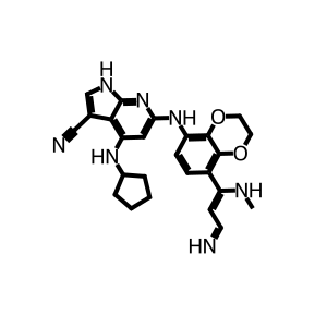 CN/C(=C\C=N)c1ccc(Nc2cc(NC3CCCC3)c3c(C#N)c[nH]c3n2)c2c1OCCO2